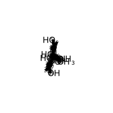 CCN(CCO)c1ccc(N=Nc2c(O)c(O)c(N=Nc3ccc(N(CC)CCO)cc3)c3cc(S(=O)(=O)O)ccc23)cc1.N